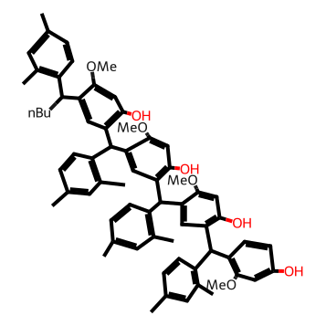 CCCCC(c1ccc(C)cc1C)c1cc(C(c2ccc(C)cc2C)c2cc(C(c3ccc(C)cc3C)c3cc(C(c4ccc(C)cc4C)c4ccc(O)cc4OC)c(O)cc3OC)c(O)cc2OC)c(O)cc1OC